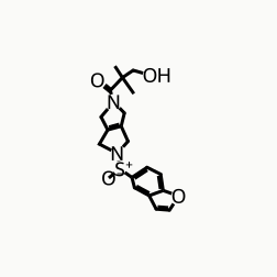 CC(C)(CO)C(=O)N1CC2=C(C1)CN([S+]([O-])c1ccc3occc3c1)C2